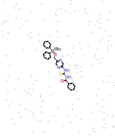 CC(C)(C)[Si](OCc1cnc(NC(=S)NC(=O)c2ccccc2)cn1)(c1ccccc1)c1ccccc1